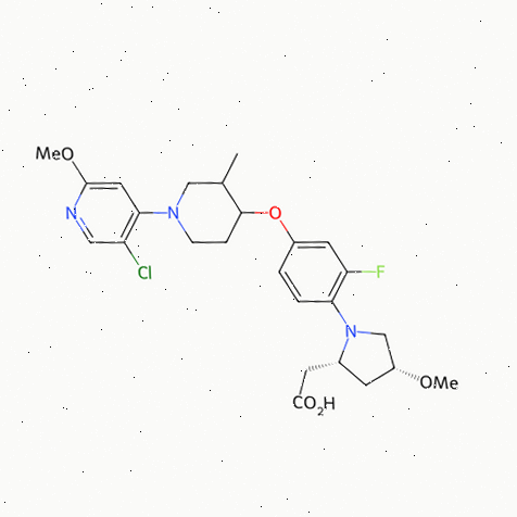 COc1cc(N2CCC(Oc3ccc(N4C[C@H](OC)C[C@@H]4CC(=O)O)c(F)c3)C(C)C2)c(Cl)cn1